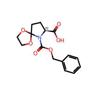 O=C(O)[C@@H]1CCC2(OCCO2)N1C(=O)OCc1ccccc1